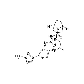 Cc1ncc(-c2ccc3cnc(NC(=O)N4[C@@H]5CC[C@H]4C[C@@H](NCC(F)F)C5)nc3c2)o1